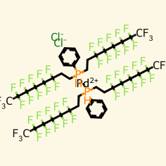 FC(F)(F)C(F)(F)C(F)(F)C(F)(F)C(F)(F)C(F)(F)CC[PH](CCC(F)(F)C(F)(F)C(F)(F)C(F)(F)C(F)(F)C(F)(F)F)([Pd+2][PH](CCC(F)(F)C(F)(F)C(F)(F)C(F)(F)C(F)(F)C(F)(F)F)(CCC(F)(F)C(F)(F)C(F)(F)C(F)(F)C(F)(F)C(F)(F)F)c1ccccc1)c1ccccc1.[Cl-].[Cl-]